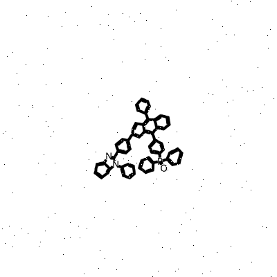 O=P(c1ccccc1)(c1ccccc1)c1ccc(-c2c3ccccc3c(-c3ccccc3)c3ccc(-c4ccc(-c5nc6ccccc6n5-c5ccccc5)cc4)cc23)cc1